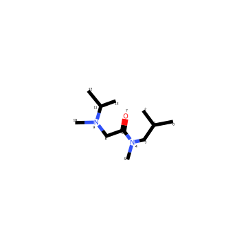 CC(C)CN(C)C(=O)CN(C)C(C)C